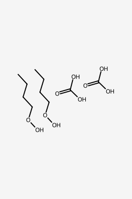 CCCCOO.CCCCOO.O=C(O)O.O=C(O)O